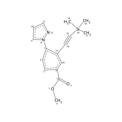 COC(=O)c1ccc(-n2cccn2)c(C#C[Si](C)(C)C)c1